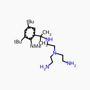 CNc1c(C(C)(C)C)cc(C(C)(C)C)cc1C(C)(C)NCCN(CCN)CCN